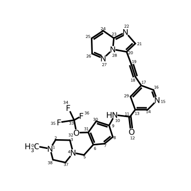 CN1CCN(Cc2ccc(NC(=O)c3cncc(C#Cc4cnc5cccnn45)c3)cc2OC(F)(F)F)CC1